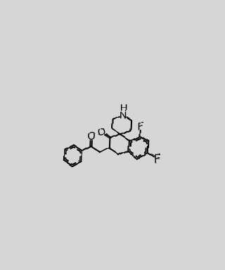 O=C(CC1Cc2cc(F)cc(F)c2C2(CCNCC2)C1=O)c1ccccc1